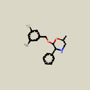 CC1CNC(c2ccccc2)C(OCc2cc(C(F)(F)F)cc(C(F)(F)F)c2)O1